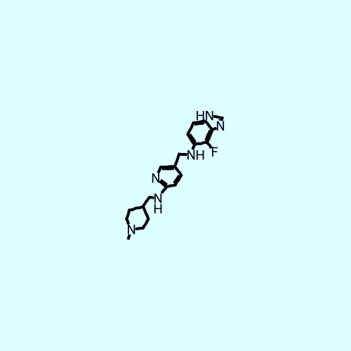 CN1CCC(CNc2ccc(CNc3ccc4[nH]cnc4c3F)cn2)CC1